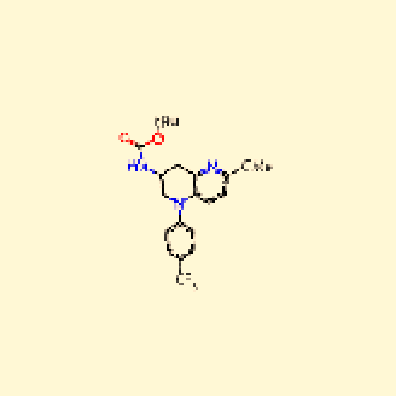 COc1ccc2c(n1)CC(NC(=O)OC(C)(C)C)CN2c1ccc(C(F)(F)F)cc1